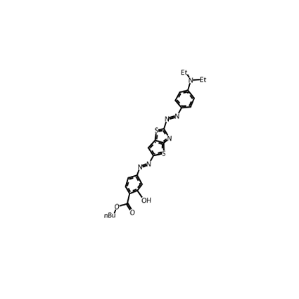 CCCCOC(=O)c1ccc(/N=N/c2cc3sc(/N=N/c4ccc(N(CC)CC)cc4)nc3s2)cc1O